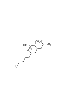 CCCCCC(Cl)CC(CC(C)O)N(C)C.Cl